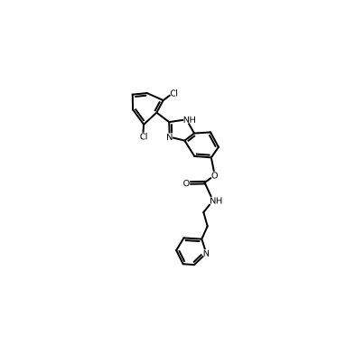 O=C(NCCc1ccccn1)Oc1ccc2[nH]c(-c3c(Cl)cccc3Cl)nc2c1